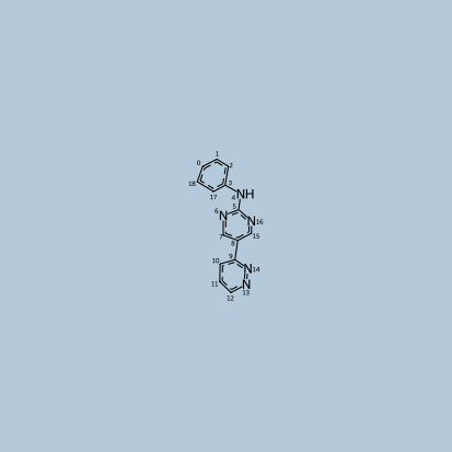 c1ccc(Nc2ncc(-c3cccnn3)cn2)cc1